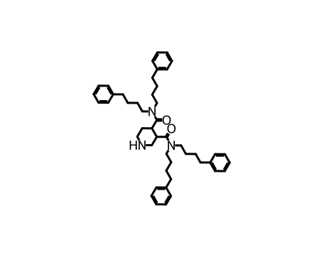 O=C(C1CCNCC1C(=O)N(CCCCc1ccccc1)CCCCc1ccccc1)N(CCCCc1ccccc1)CCCCc1ccccc1